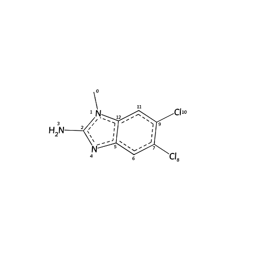 Cn1c(N)nc2cc(Cl)c(Cl)cc21